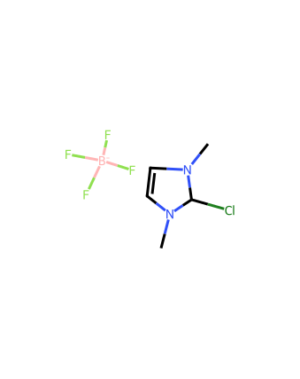 CN1C=CN(C)C1Cl.F[B-](F)(F)F